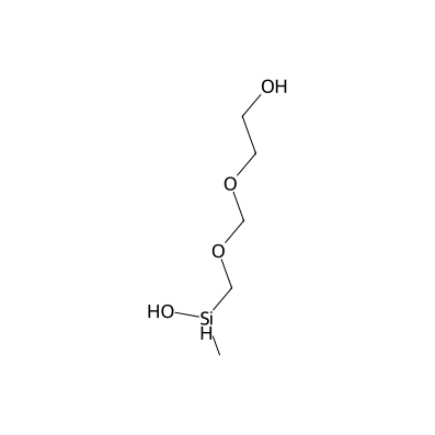 C[SiH](O)COCOCCO